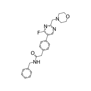 O=C(Cc1ccc(-c2cnc(CN3CCOCC3)nc2F)cc1)NCc1ccccc1